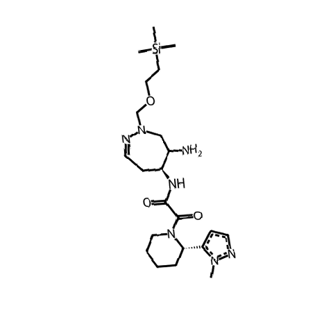 Cn1nccc1[C@@H]1CCCCN1C(=O)C(=O)N[C@H]1CC=NN(COCC[Si](C)(C)C)CC1N